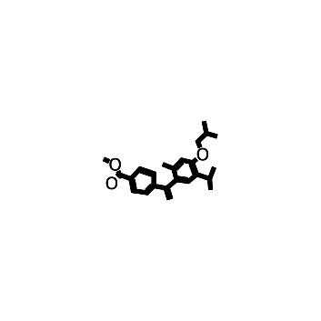 C=C(c1ccc(C(=O)OC)cc1)c1cc(C(C)C)c(OCC(C)C)cc1C